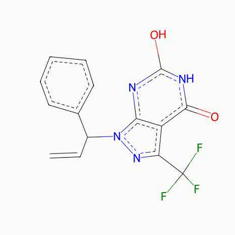 C=CC(c1ccccc1)n1nc(C(F)(F)F)c2c(=O)[nH]c(O)nc21